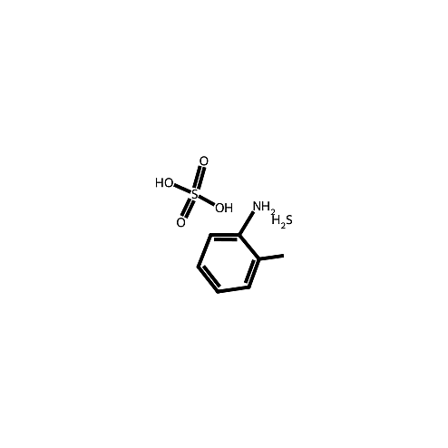 Cc1ccccc1N.O=S(=O)(O)O.S